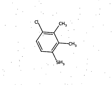 Cc1c([SiH3])ccc(Cl)c1C